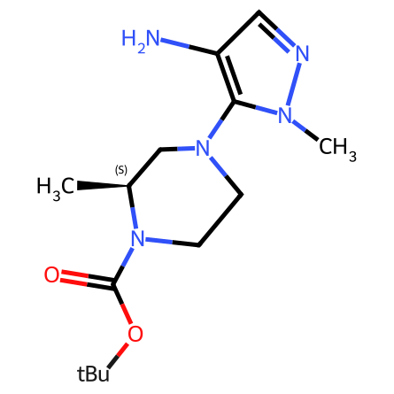 C[C@H]1CN(c2c(N)cnn2C)CCN1C(=O)OC(C)(C)C